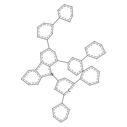 c1ccc(-c2cccc(-c3cc(-c4cccc(-c5ccccc5)c4)c4c(c3)c3ccccc3n4-c3cc(-c4ccccc4)cc(-c4ccccc4)c3)c2)cc1